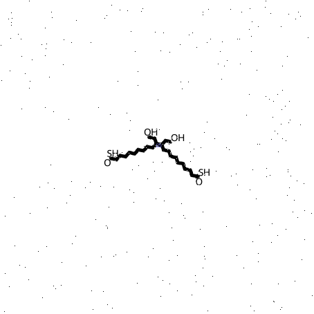 O=C(S)CCCCCCCCC/C(CCO)=C(/CCO)CCCCCCCCCC(=O)S